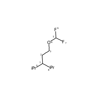 CC(C)C(CCOC(F)F)C(C)C